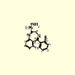 NNC1=Nc2cccc(Br)c2C(c2ccccc2F)=NC1